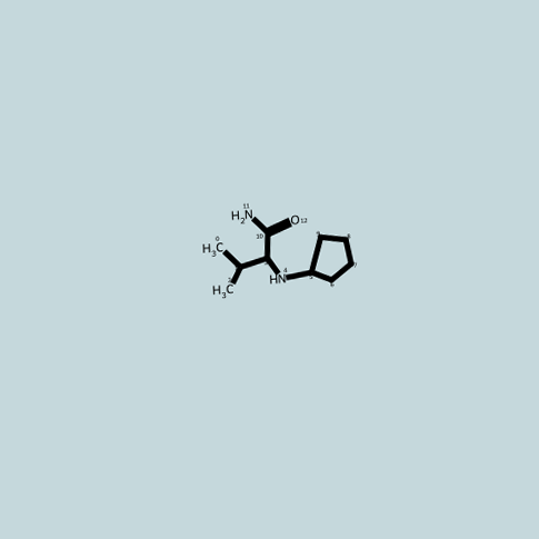 CC(C)C(NC1CCCC1)C(N)=O